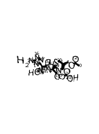 CC(=O)OCC1=C(OC(=O)O)N2C(=O)[C@@H](NC(=O)C(=NO)c3nc(N)n(C)n3)[C@@H]2SC1